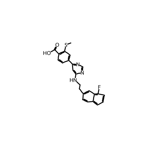 CSc1cc(-c2cc(NCCc3ccc4cccc(F)c4c3)ncn2)ccc1C(=O)O